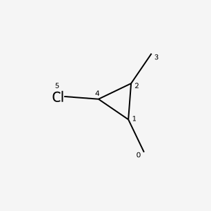 CC1C(C)C1Cl